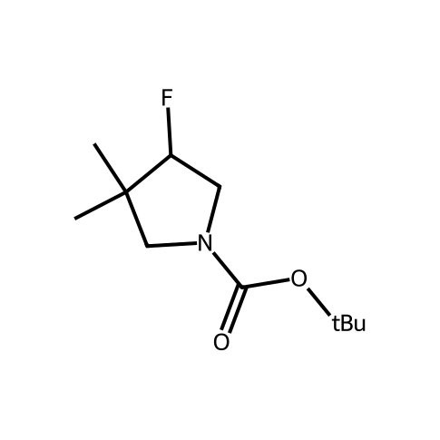 CC(C)(C)OC(=O)N1CC(F)C(C)(C)C1